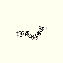 Oc1ccc(-c2nsc(-c3ccc(O)c(OOc4cc5nc(-c6ccc(O)c(O)c6)oc5cc4O)c3)n2)cc1O